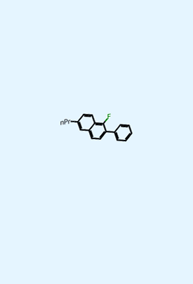 CCCc1ccc2c(F)c(-c3ccccc3)ccc2c1